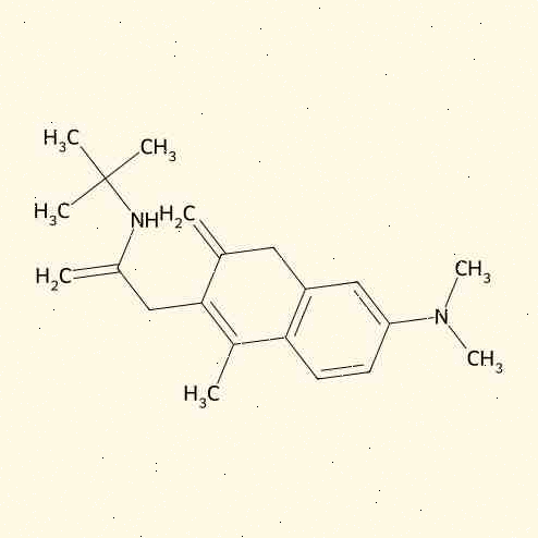 C=C(CC1=C(C)c2ccc(N(C)C)cc2CC1=C)NC(C)(C)C